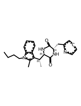 CCCCn1c(C)c([C@@H](C)[C@H]2NC(=O)[C@H](Cc3ccccn3)NC2=O)c2ccccc21